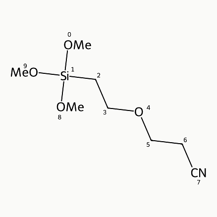 CO[Si](CCOCCC#N)(OC)OC